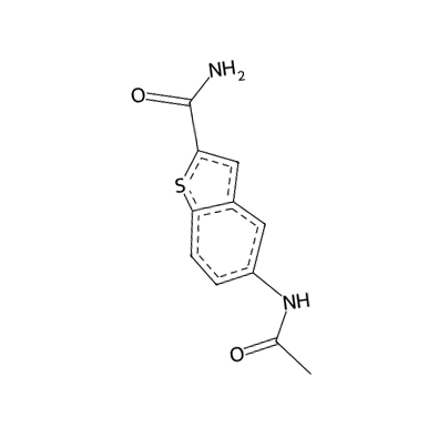 CC(=O)Nc1ccc2sc(C(N)=O)cc2c1